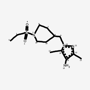 CCS(=O)(=O)N1CCC(Cn2nc(C)c(N)c2C)CC1